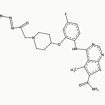 Cc1c(C(N)=O)sc2ncnc(Nc3ccc(F)cc3OC3CCN(CC(=O)N=NN)CC3)c12